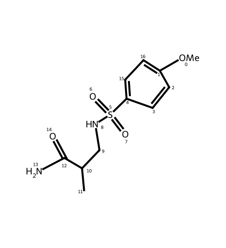 COc1ccc(S(=O)(=O)NCC(C)C(N)=O)cc1